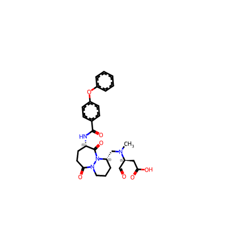 CN(C[C@@H]1CCCN2C(=O)CC[C@H](NC(=O)c3ccc(Oc4ccccc4)cc3)C(=O)N12)[C@H](C=O)CC(=O)O